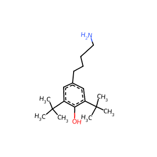 CC(C)(C)c1cc(CCCCN)cc(C(C)(C)C)c1O